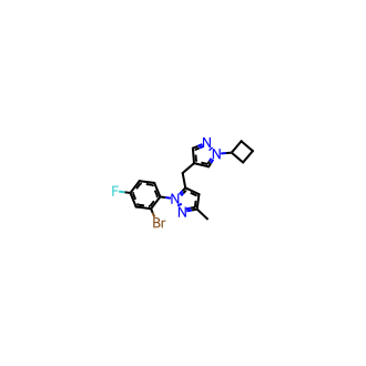 Cc1cc(Cc2cnn(C3CCC3)c2)n(-c2ccc(F)cc2Br)n1